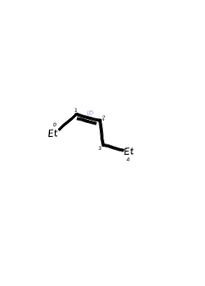 CC/C=[C]\CCC